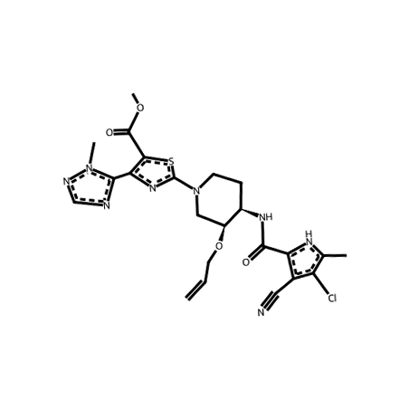 C=CCO[C@H]1CN(c2nc(-c3ncnn3C)c(C(=O)OC)s2)CC[C@H]1NC(=O)c1[nH]c(C)c(Cl)c1C#N